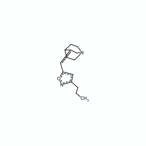 CCCc1cc(/C=C2\CN3CCC2CC3)on1